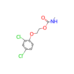 CNC(=O)OCCOc1ccc(Cl)cc1Cl